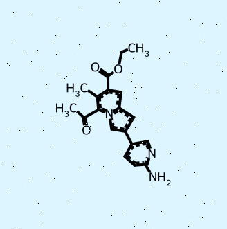 CCOC(=O)c1cc2cc(-c3ccc(N)nc3)cn2c(C(C)=O)c1C